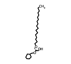 CCCCCCCCCCCCCCCCCCOC[C@H](CO)OCC1CCCCC1